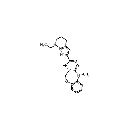 CC[C@H]1CCCc2nc(C(=O)N[C@H]3COc4ccccc4N(C)C3=O)nn21